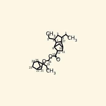 CCC1CC(CC)C2C3CC(CC3C(=O)OCOC3(CC)CC4CCC3C4)C12